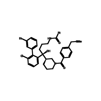 CCC(=O)NCCC[C@@](O)(c1cccc(Cl)c1-c1cccc(CC)c1)[C@@H]1CCCN(C(=O)c2ccc(CNC)cc2)C1